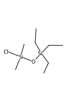 CC[Si](CC)(CC)O[Si](C)(C)Cl